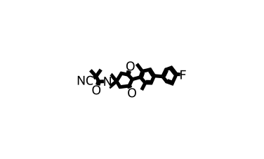 Cc1cc(-c2ccc(F)cc2)cc(C)c1C1C(=O)CC2(CC1=O)CN(C(=O)C(C)(C)C#N)C2